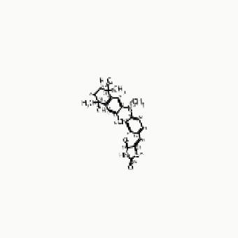 Cc1cc2c(cc1N(C)c1ccc(C=C3SC(=O)NC3=O)cc1)C(C)(C)CCC2(C)C